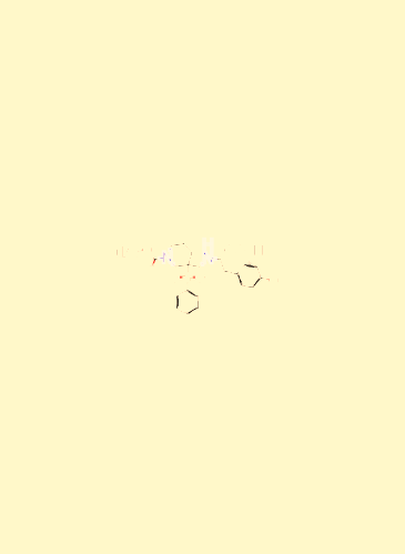 CC(C)(C)OC(=O)N1CCCC(CN[C@@H](Cc2ccc(O)cc2)C(=O)O)(S(=O)(=O)c2ccccc2)C1